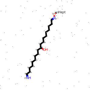 CCCCCCCO/N=C/CCCCCCCCC(O)CCCCCCCCC=N